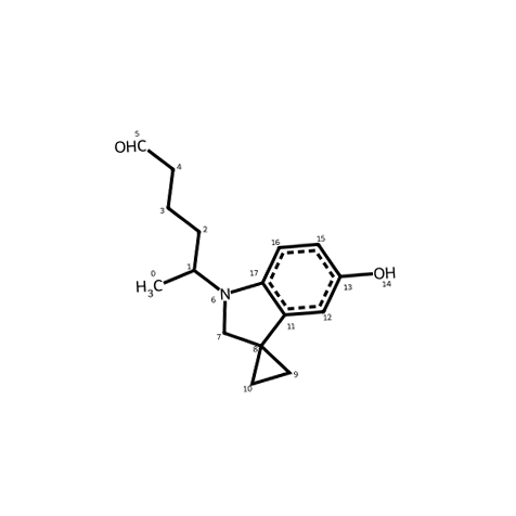 CC(CCCC=O)N1CC2(CC2)c2cc(O)ccc21